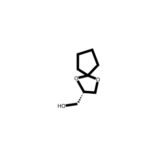 OC[C@H]1COC2(CCCC2)O1